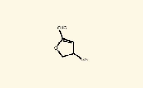 CCCC1C=C(C=O)OC1